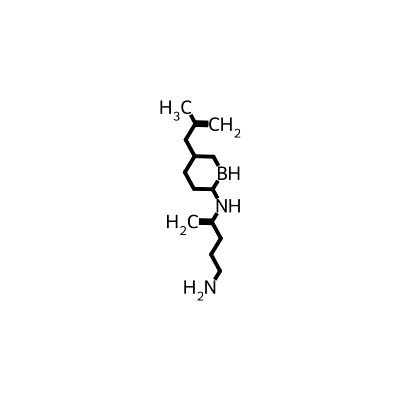 C=C(C)CC1CBC(NC(=C)CCCN)CC1